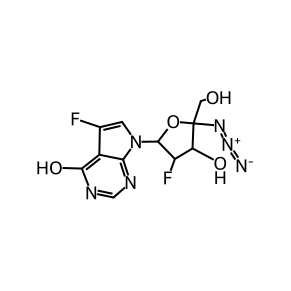 [N-]=[N+]=NC1(CO)OC(n2cc(F)c3c(O)ncnc32)C(F)C1O